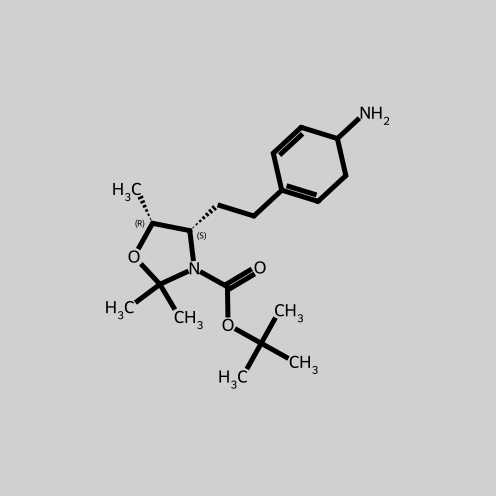 C[C@H]1OC(C)(C)N(C(=O)OC(C)(C)C)[C@H]1CCC1=CCC(N)C=C1